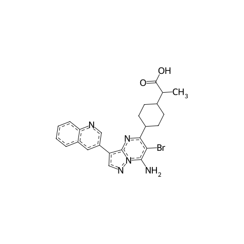 CC(C(=O)O)C1CCC(c2nc3c(-c4cnc5ccccc5c4)cnn3c(N)c2Br)CC1